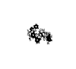 COc1c(CN2O[C@@H](CO)[C@H]([C@H](C)O)[C@H]2C(=O)NC2C[C@H]3C[C@@H]([C@@H]2C)C3(C)C)cccc1-c1cc(C(=O)N2[C@@H](CN(C)C)CC[C@H]2c2ccccc2)cc(N(C)C)c1